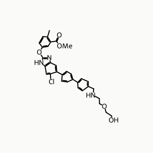 COC(=O)c1cc(Oc2nc3cc(-c4ccc(-c5ccc(CNCCOCCO)cc5)cc4)c(Cl)cc3[nH]2)ccc1C